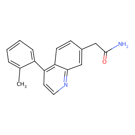 Cc1ccccc1-c1ccnc2cc(CC(N)=O)ccc12